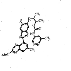 COc1cnc2c(-c3nc4cc(F)c(O[C@@H](C)[C@@H](C)OC(=O)Nc5cnnc(C)c5)cc4s3)cc(C)cc2n1